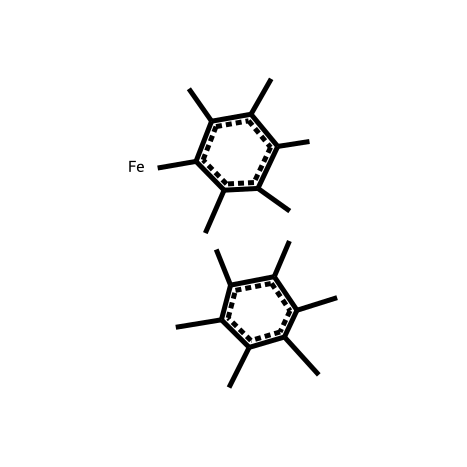 Cc1c(C)c(C)c(C)c(C)c1C.Cc1c(C)c(C)c(C)c(C)c1C.[Fe]